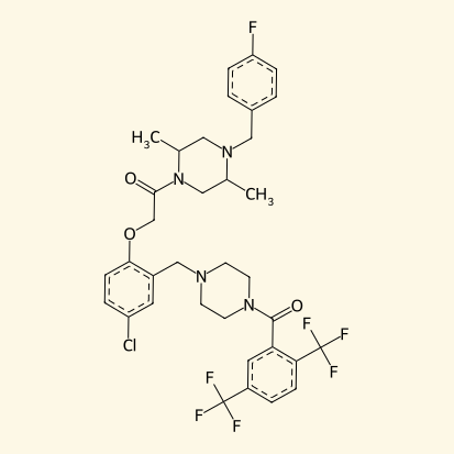 CC1CN(C(=O)COc2ccc(Cl)cc2CN2CCN(C(=O)c3cc(C(F)(F)F)ccc3C(F)(F)F)CC2)C(C)CN1Cc1ccc(F)cc1